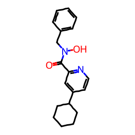 O=C(c1cc(C2CCCCC2)ccn1)N(O)Cc1ccccc1